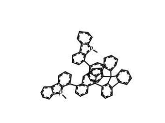 Cp1c2ccccc2c2cccc(-c3cccc4c(-c5cccc6c5C(c5ccccc5)(c5ccccc5)c5ccccc5-6)c5cccc(-c6cccc7c8ccccc8p(C)c67)c5cc34)c21